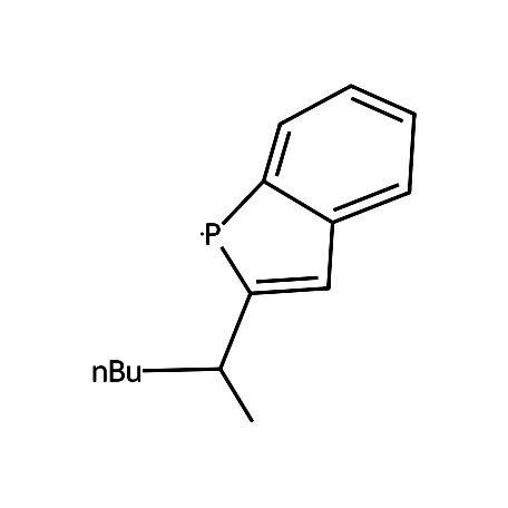 CCCCC(C)C1=Cc2ccccc2[P]1